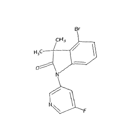 CC1(C)C(=O)N(c2cncc(F)c2)c2cccc(Br)c21